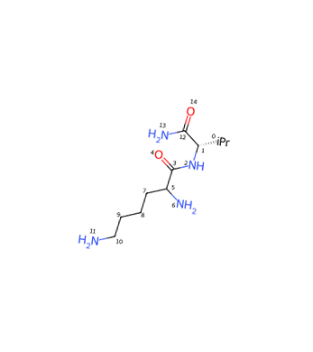 CC(C)[C@H](NC(=O)C(N)CCCCN)C(N)=O